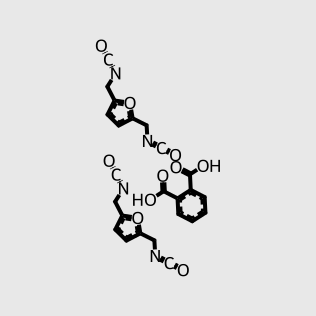 O=C(O)c1ccccc1C(=O)O.O=C=NCc1ccc(CN=C=O)o1.O=C=NCc1ccc(CN=C=O)o1